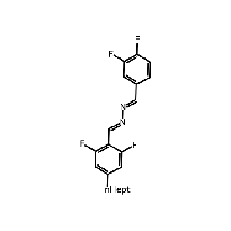 CCCCCCCc1cc(F)c(C=NN=Cc2ccc(F)c(F)c2)c(F)c1